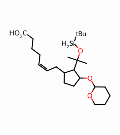 CC(C)(C)[SiH2]OC(C)(C)C1C(C/C=C\CCCC(=O)O)CCC1OC1CCCCO1